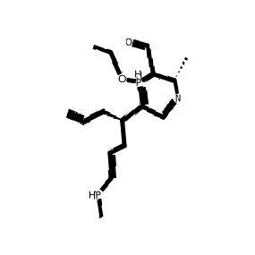 C=CC[C@H](C/C=C/PC)C1=[PH](OCC)C(C=O)[C@H](C)N=C1